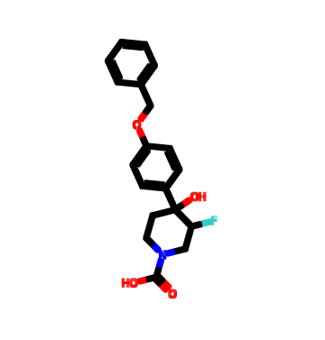 O=C(O)N1CCC(O)(c2ccc(OCc3ccccc3)cc2)C(F)C1